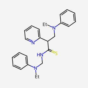 CCN(CNC(=S)C(CN(CC)c1ccccc1)c1ccccn1)c1ccccc1